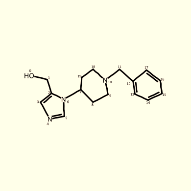 OCc1cncn1C1CCN(Cc2ccccc2)CC1